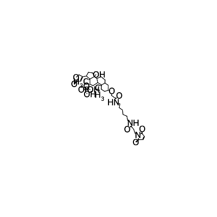 CC12CCC(OCC(=O)NCCCCCCNC(=O)CCN3C(=O)C=CC3=O)CC1CCC1C2CC(OP(=O)(O)O)C2(C)C(C3=CC(=O)OC3)CCC12O